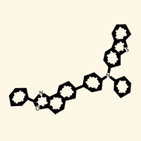 c1ccc(-c2nc3c(ccc4cc(-c5ccc(N(c6ccccc6)c6ccc7c(c6)sc6ccccc67)cc5)ccc43)o2)cc1